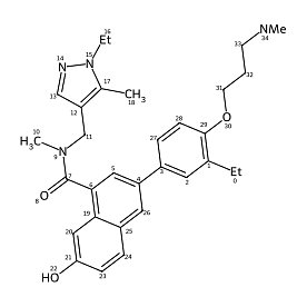 CCc1cc(-c2cc(C(=O)N(C)Cc3cnn(CC)c3C)c3cc(O)ccc3c2)ccc1OCCCNC